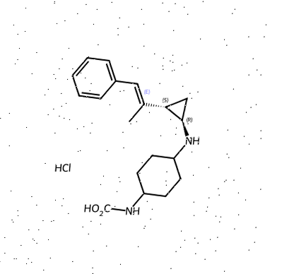 C/C(=C\c1ccccc1)[C@@H]1C[C@H]1NC1CCC(NC(=O)O)CC1.Cl